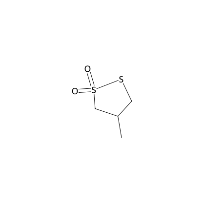 CC1CSS(=O)(=O)C1